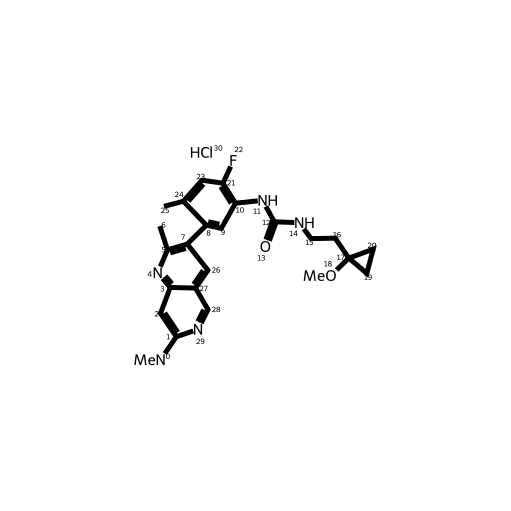 CNc1cc2nc(C)c(-c3cc(NC(=O)NCCC4(OC)CC4)c(F)cc3C)cc2cn1.Cl